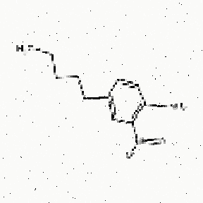 CCCCCc1ccc(N)c([N+](=O)[O-])c1